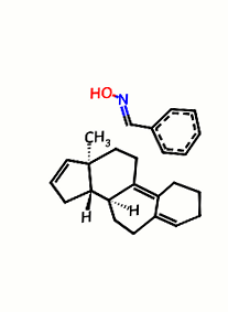 C[C@@]12C=CC[C@H]1[C@@H]1CCC3=CCCCC3=C1CC2.ON=Cc1ccccc1